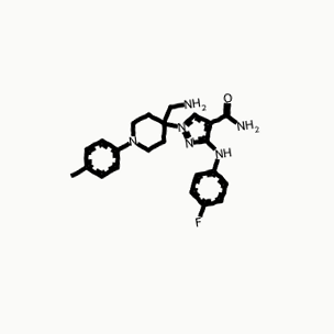 Cc1ccc(N2CCC(CN)(n3cc(C(N)=O)c(Nc4ccc(F)cc4)n3)CC2)cc1